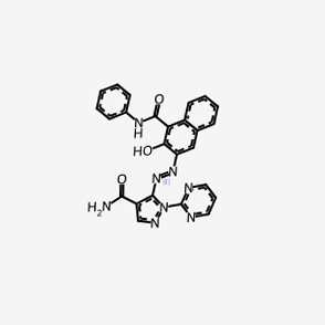 NC(=O)c1cnn(-c2ncccn2)c1/N=N/c1cc2ccccc2c(C(=O)Nc2ccccc2)c1O